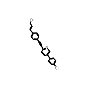 OCC=Cc1ccc(C#Cc2ccc(-c3ccc(Cl)cc3)cn2)cc1